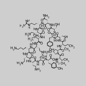 CC[C@H](C)[C@H](NC(=O)[C@@H]1C[C@@H](O)CN1C(=O)[C@@H](N)C(C)C)C(=O)N[C@@H](CS)C(=O)N[C@@H](Cc1ccc(O)cc1)C(=O)N[C@@H](CO)C(=O)N[C@@H](CC(N)=O)C(=O)N[C@@H](CCCNC(=N)N)C(=O)N[C@@H](CCN)C(=O)N[C@H](C(=O)N[C@H](CCN)C(=O)N[C@@H](CCCCN)C(=O)N[C@@H](CCN)C(=O)N[C@@H](CCN)C(=O)N[C@@H](CS)C(=O)N[C@@H](Cc1ccc(O)cc1)C(=O)O)[C@@H](C)O